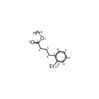 CCCOC(=O)CCCc1ccccc1CC